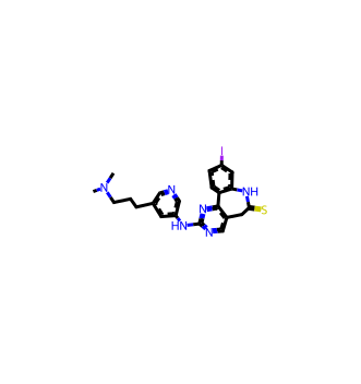 CN(C)CCCc1cncc(Nc2ncc3c(n2)-c2ccc(I)cc2NC(=S)C3)c1